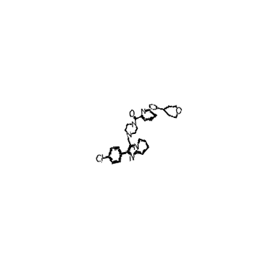 O=C(c1cccc(OC2CCOCC2)n1)N1CCN(Cc2c(-c3ccc(Cl)cc3)nc3ccccn23)CC1